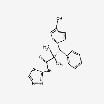 CC(C)(C(=O)Nc1nncs1)[C@@H](c1ccccc1)c1ccc(O)cc1